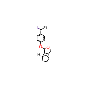 CCC(I)c1ccc(OC2OCC3C4CC[C@H](C4)C23)cc1